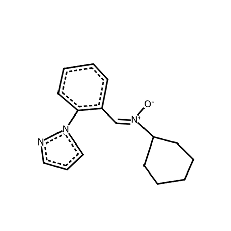 [O-]/[N+](=C\c1ccccc1-n1cccn1)C1CCCCC1